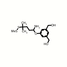 CSSC(C)(C)CCC(N)Oc1cc(CO)cc(CO)c1